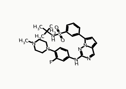 CN1CCN(c2ccc(Nc3ncc4ccc(-c5cccc(S(=O)(=O)NC(C)(C)C)c5)n4n3)cc2F)CC1